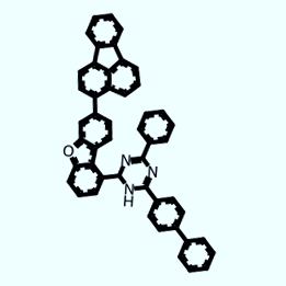 c1ccc(C2=NC(c3cccc4oc5cc(-c6ccc7c8c(cccc68)-c6ccccc6-7)ccc5c34)NC(c3ccc(-c4ccccc4)cc3)=N2)cc1